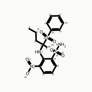 CCCC(C)(Nc1c([N+](=O)[O-])cccc1S(N)(=O)=O)S(=O)(=O)c1ccccc1